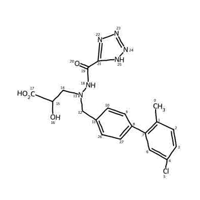 Cc1ccc(Cl)cc1-c1ccc(CN(CC(O)C(=O)O)NC(=O)c2nnn[nH]2)cc1